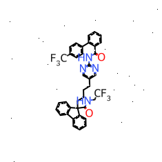 O=C(Nc1ncc(CCCCC2(C(=O)NCC(F)(F)F)c3ccccc3-c3ccccc32)cn1)c1ccccc1-c1ccc(C(F)(F)F)cc1